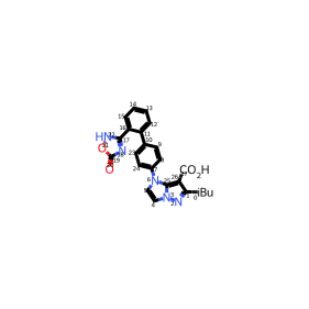 CCC(C)c1nn2ccn(-c3ccc(-c4ccccc4-c4nc(=O)o[nH]4)cc3)c2c1C(=O)O